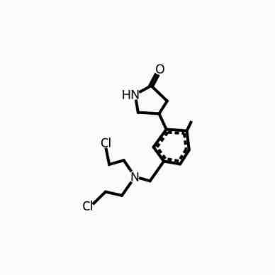 Cc1ccc(CN(CCCl)CCCl)cc1C1CNC(=O)C1